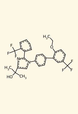 CCOc1ccc(C(F)(F)F)cc1-c1ccc(-n2cc(C(C)(C)O)nc2-c2ccccc2C(F)(F)F)cc1